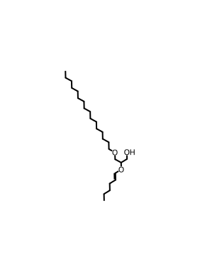 CCCCC=COC(CO)COCCCCCCCCCCCCCCCC